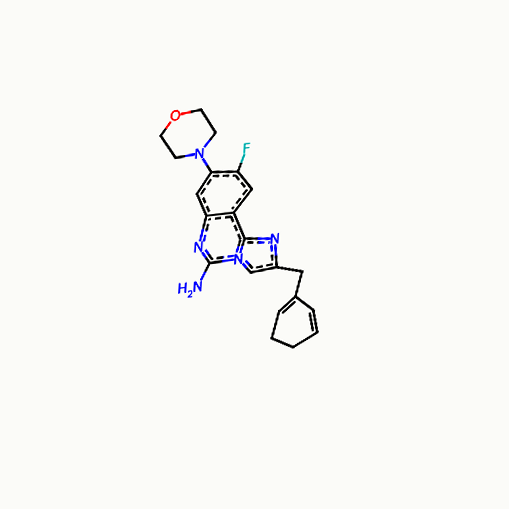 Nc1nc2cc(N3CCOCC3)c(F)cc2c2nc(CC3=CCCC=C3)cn12